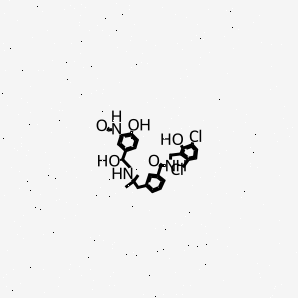 CC(C)(Cc1cccc(C(=O)NCc2c(Cl)ccc(Cl)c2O)c1)NC[C@@H](O)c1ccc(O)c(NC=O)c1